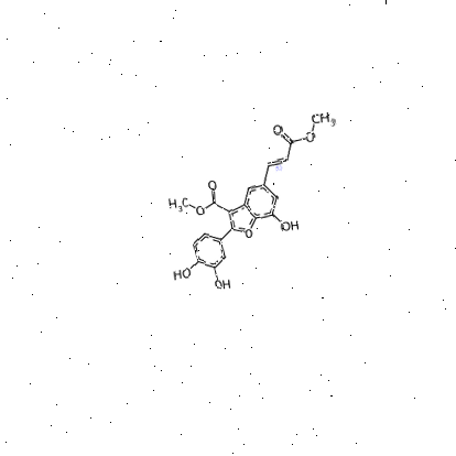 COC(=O)/C=C/c1cc(O)c2oc(-c3ccc(O)c(O)c3)c(C(=O)OC)c2c1